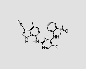 Cc1ccc(Nc2ncc(Cl)c(Nc3ccccc3P(C)(C)=O)n2)c2[nH]cc(C#N)c12